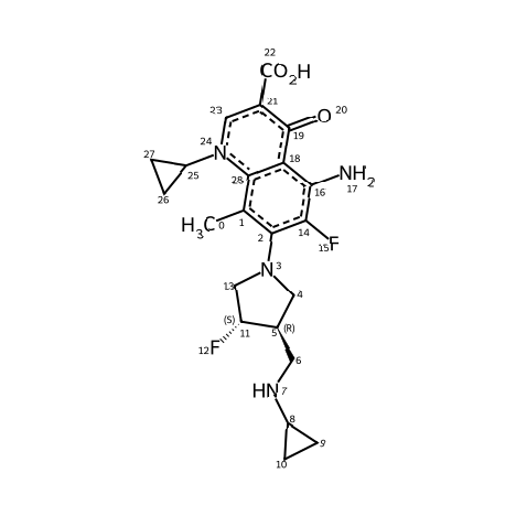 Cc1c(N2C[C@@H](CNC3CC3)[C@H](F)C2)c(F)c(N)c2c(=O)c(C(=O)O)cn(C3CC3)c12